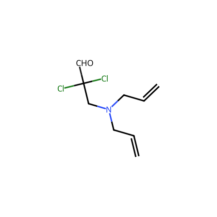 C=CCN(CC=C)CC(Cl)(Cl)C=O